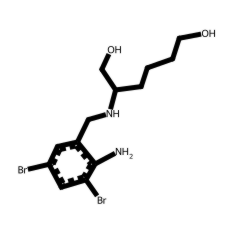 Nc1c(Br)cc(Br)cc1CNC(CO)CCCCO